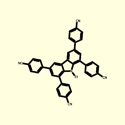 CCn1c2c(-c3ccc(C#N)cc3)cc(-c3ccc(C#N)cc3)cc2c2cc(-c3ccc(C#N)cc3)cc(-c3ccc(C#N)cc3)c21